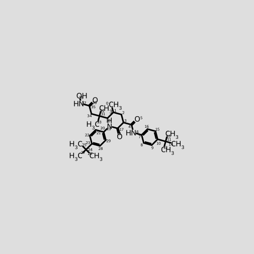 CC(CC(C(=O)Nc1ccc(C(C)(C)C)cc1)C(=O)Nc1ccc(C(C)(C)C)cc1)CC(C)(C)CC(=O)NO